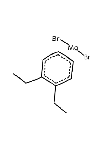 CCc1[c]cccc1CC.[Br][Mg][Br]